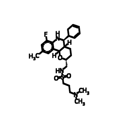 Cc1cc(F)c2c(c1)[C@H]1O[C@@H](CNS(=O)(=O)CCCN(C)C)CC[C@H]1[C@H](C1C=CC=CC1)N2